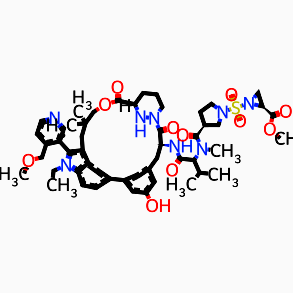 CCn1c(-c2cnccc2COC)c2c3cc(ccc31)-c1cc(O)cc(c1)C[C@H](NC(=O)C(C(C)C)N(C)C(=O)[C@H]1CCN(S(=O)(=O)N3C[C@H]3C(=O)OC)C1)C(=O)N1CCC[C@H](N1)C(=O)OCC(C)(C)C2